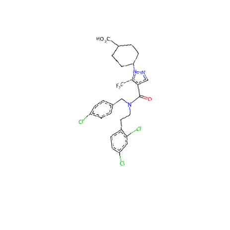 O=C(O)C1CCC(n2ncc(C(=O)N(CCc3ccc(Cl)cc3Cl)Cc3ccc(Cl)cc3)c2C(F)(F)F)CC1